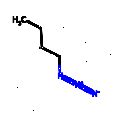 CC[CH]CN=[N+]=[N-]